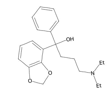 CCN(CC)CCCC(O)(c1ccccc1)c1cccc2c1OCO2